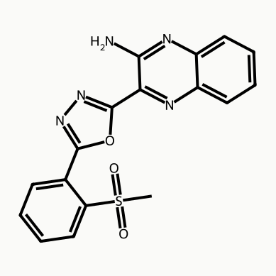 CS(=O)(=O)c1ccccc1-c1nnc(-c2nc3ccccc3nc2N)o1